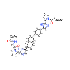 CNCC(=O)N1CCCC1c1ncc(-c2ccc(-c3ccc4cc(-c5cnc(C6CCCN6C(=O)CNC(=O)OC)[nH]5)ccc4c3)cc2)[nH]1